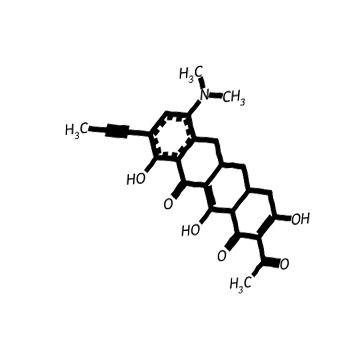 CC#Cc1cc(N(C)C)c2c(c1O)C(=O)C1=C(O)C3C(=O)C(C(C)=O)=C(O)CC3CC1C2